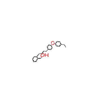 C/C=c1/cccc/c1=C/C(O)=C/Cc1ccc(Oc2ccc(CC)cc2)cc1